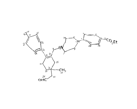 CCOC(=O)c1ccc(N2CCN(CC3=C(c4ccc(Cl)cc4)CCC(C)(CC=O)C3)CC2)cc1